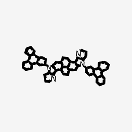 c1ccc2c(c1)c1ccccc1c1cc(-n3c4cccnc4c4c5ccc6cc7c(c8ccc(cc43)c5c68)c3ncccc3n7-c3ccc4c5ccccc5c5ccccc5c4c3)ccc21